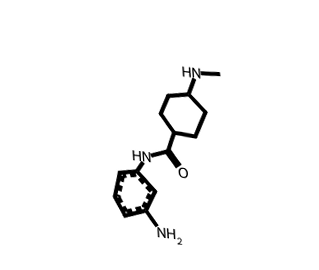 CNC1CCC(C(=O)Nc2cccc(N)c2)CC1